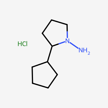 Cl.NN1CCCC1C1CCCC1